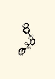 O=C(NC1CN2CCC1CC2)c1cccc2oc(-c3ccc4c(c3)CCO4)nc12